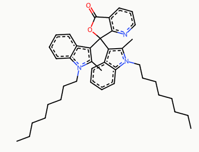 CCCCCCCCn1c(C)c(C2(c3c(C)n(CCCCCCCC)c4ccccc34)OC(=O)c3cccnc32)c2ccccc21